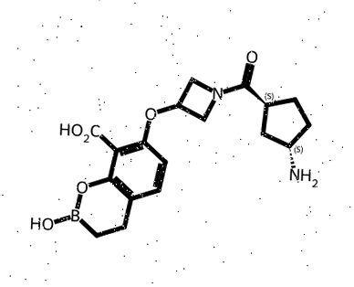 N[C@H]1CC[C@H](C(=O)N2CC(Oc3ccc4c(c3C(=O)O)OB(O)CC4)C2)C1